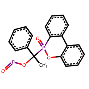 CC(OP=O)(c1ccccc1)P1(=O)Oc2ccccc2-c2ccccc21